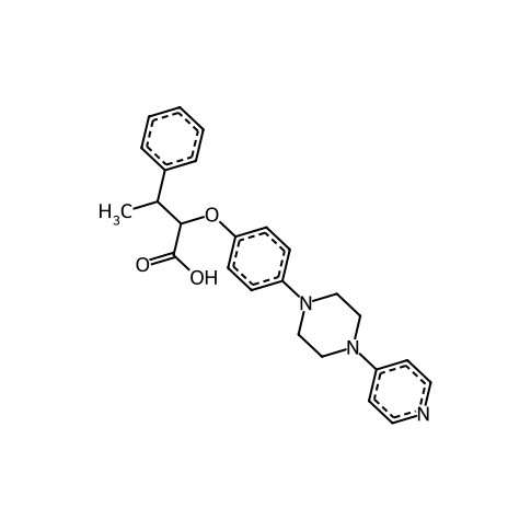 CC(c1ccccc1)C(Oc1ccc(N2CCN(c3ccncc3)CC2)cc1)C(=O)O